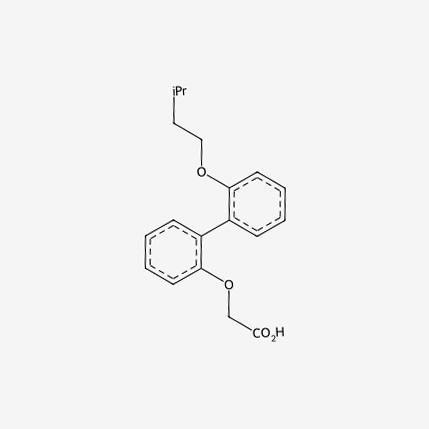 CC(C)CCOc1ccccc1-c1ccccc1OCC(=O)O